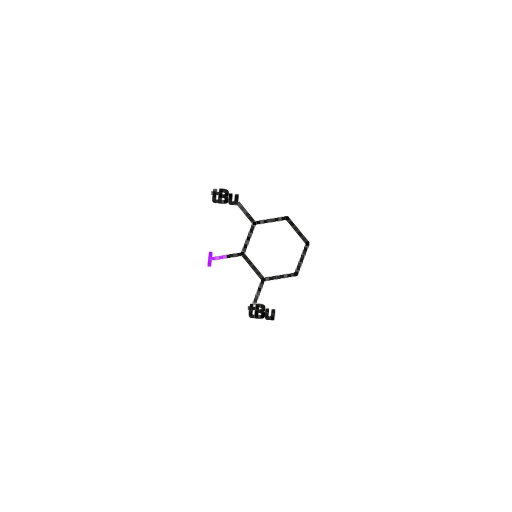 CC(C)(C)C1CCCC(C(C)(C)C)C1I